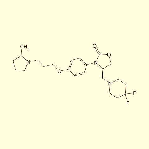 CC1CCCN1CCCOc1ccc(N2C(=O)OC[C@H]2CN2CCC(F)(F)CC2)cc1